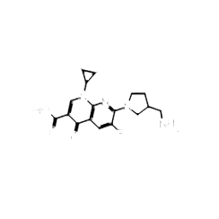 NCC1CCN(c2nc3c(cc2F)c(=O)c(C(=O)O)cn3C2CC2)C1